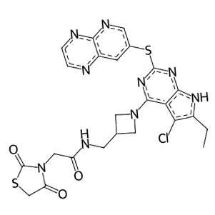 CCc1[nH]c2nc(Sc3cnc4nccnc4c3)nc(N3CC(CNC(=O)CN4C(=O)CSC4=O)C3)c2c1Cl